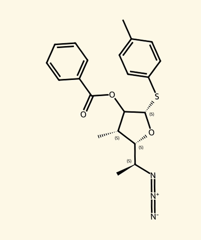 Cc1ccc(S[C@@H]2O[C@H]([C@H](C)N=[N+]=[N-])[C@H](C)C2OC(=O)c2ccccc2)cc1